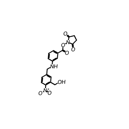 O=C(ON1C(=O)CCC1=O)c1cccc(NCc2ccc([N+](=O)[O-])c(CO)c2)c1